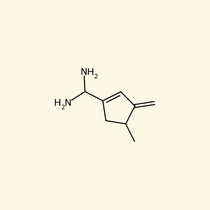 C=C1C=C(C(N)N)CC1C